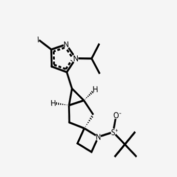 CC(C)n1nc(I)cc1C1[C@H]2C[C@]3(CCN3[S+]([O-])C(C)(C)C)C[C@@H]12